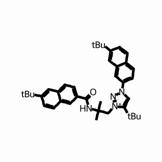 CC(C)(C[n+]1nn(-c2ccc3ccc(C(C)(C)C)cc3c2)cc1C(C)(C)C)NC(=O)c1ccc2cc(C(C)(C)C)ccc2c1